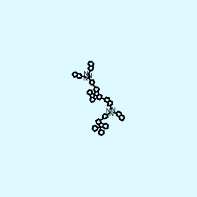 c1ccc(C2(c3ccccc3)c3ccccc3-c3c(-c4ccc(-c5nc(-c6ccc7ccccc7c6)nc(-c6ccc7ccc(-c8ccc9c(c8)-c8ccc(-c%10ccc(-c%11nc(-c%12ccc%13ccccc%13c%12)nc(-c%12ccc%13ccccc%13c%12)n%11)cc%10)cc8C98c9ccccc9-c9ccccc98)cc7c6)n5)cc4)cccc32)cc1